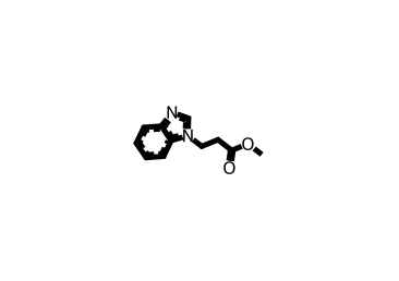 COC(=O)CCn1cnc2ccccc21